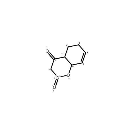 O=C1C[N+](=O)OC2C=CCCC12